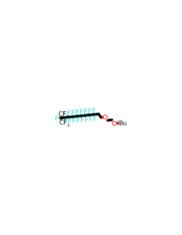 CCC(C)OCCOCCC(F)(F)C(F)(F)C(F)(F)C(F)(F)C(F)(F)C(F)(F)C(F)(F)C(F)(F)C(F)(C(F)(F)F)C(F)(F)F